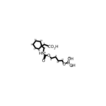 O=C(O)CC1(CNC(=O)OCCCCON(O)O)CCCCC1